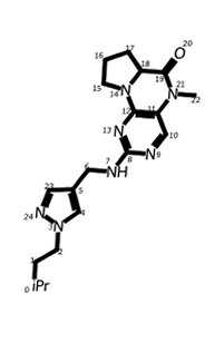 CC(C)CCn1cc(CNc2ncc3c(n2)N2CCCC2C(=O)N3C)cn1